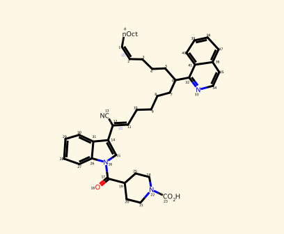 CCCCCCCC/C=C\CCCC(CCCC/C=C(\C#N)c1cn(C(=O)C2CCN(C(=O)O)CC2)c2ccccc12)c1nccc2ccccc12